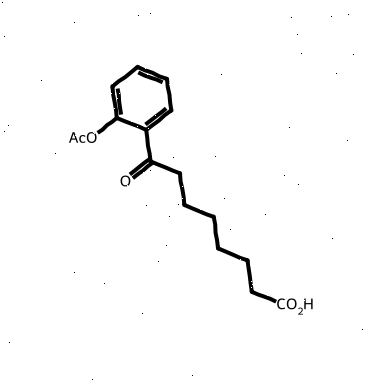 CC(=O)Oc1ccccc1C(=O)CCCCCCC(=O)O